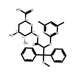 COC(c1ccccc1)(c1ccccc1)C(Oc1nc(C)cc(C)n1)C(=O)O[C@@H]1O[C@H](C(=O)O)C[C@H](O)[C@H]1O